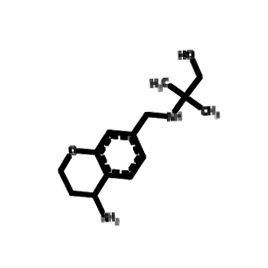 CC(C)(CO)NCc1ccc2c(c1)OCCC2N